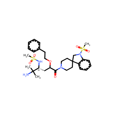 CC(C)(N)[C@@H](CC(OCCc1ccccc1)C(=O)N1CCC2(CC1)CN(S(C)(=O)=O)c1ccccc12)NS(C)(=O)=O